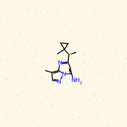 Cc1cnn2c(N)cc([C@H](C)C3(C)CC3)nc12